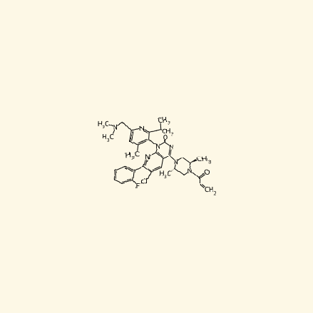 C=CC(=O)N1C[C@H](C)N(c2nc(=O)n(-c3c(C)cc(CN(C)C)nc3C(C)C)c3nc(-c4ccccc4F)c(Cl)cc23)C[C@H]1C